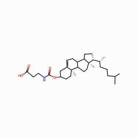 CC(C)CCC[C@@H](C)[C@H]1CCC2C3CC=C4CC(OC(=O)NCCC(=O)O)CC[C@]4(C)C3CC[C@@]21C